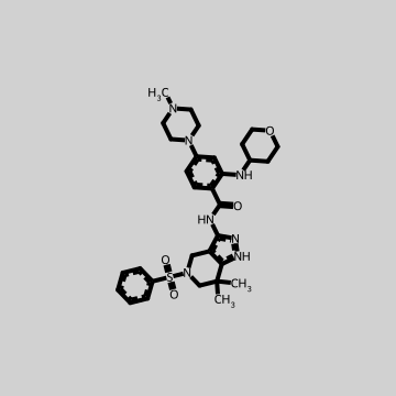 CN1CCN(c2ccc(C(=O)Nc3n[nH]c4c3CN(S(=O)(=O)c3ccccc3)CC4(C)C)c(NC3CCOCC3)c2)CC1